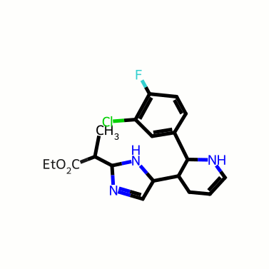 CCOC(=O)C(C)C1N=CC(C2CC=CNC2c2ccc(F)c(Cl)c2)N1